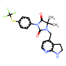 CC1(C)C(=O)N(c2ccc(SC(F)(F)F)cc2)C(=O)N1Cc1ccnc2c1CCN2